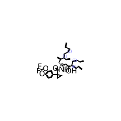 C=C/C=C\C=C(/C=C)C(=C)C[C@H](C[C@H](O)C(/C=C\C=C)=C/C=C)NC(=O)C1(c2ccc3c(c2)OC(F)(F)O3)CC1